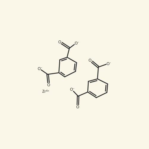 O=C([O-])c1cccc(C(=O)[O-])c1.O=C([O-])c1cccc(C(=O)[O-])c1.[Zr+4]